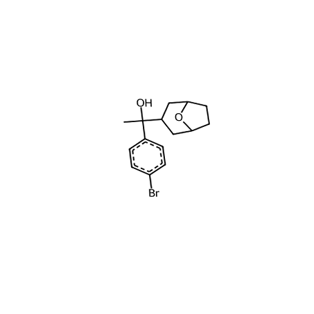 CC(O)(c1ccc(Br)cc1)C1CC2CCC(C1)O2